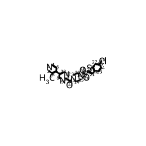 Cc1cnccc1-c1cnc(C(=O)N2CCN(S(=O)(=O)c3cc4ccc(Cl)cc4s3)CC2)nc1